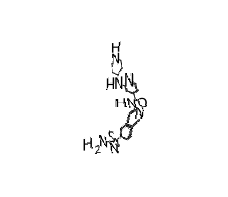 Nc1ncc(-c2ccc3cnc(NC(=O)c4ccnc(NC5CCNCC5)c4)cc3c2)s1